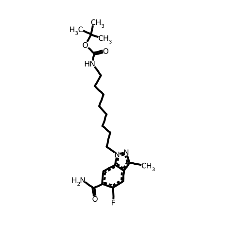 Cc1nn(CCCCCCCCNC(=O)OC(C)(C)C)c2cc(C(N)=O)c(F)cc12